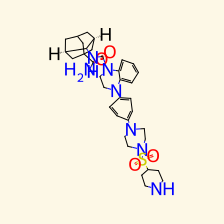 NC(=O)C12CC3C[C@H](C1)C(NC(=O)N1CCN(c4ccc(N5CCN(S(=O)(=O)C6CCNCC6)CC5)cc4)c4ccccc41)[C@@H](C3)C2